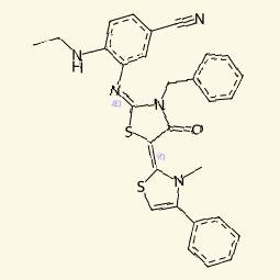 CCNc1ccc(C#N)cc1/N=C1/S/C(=C2\SC=C(c3ccccc3)N2C)C(=O)N1Cc1ccccc1